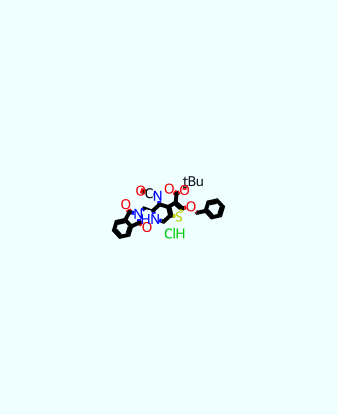 CC(C)(C)OC(=O)c1c(OCc2ccccc2)sc2c1C(N=C=O)[C@H](CN1C(=O)c3ccccc3C1=O)NC2.Cl